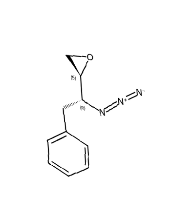 [N-]=[N+]=N[C@H](Cc1ccccc1)[C@H]1CO1